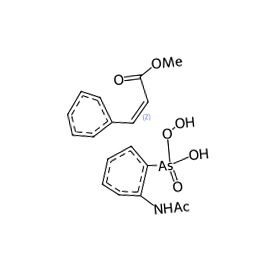 CC(=O)Nc1ccccc1[As](=O)(O)OO.COC(=O)/C=C\c1ccccc1